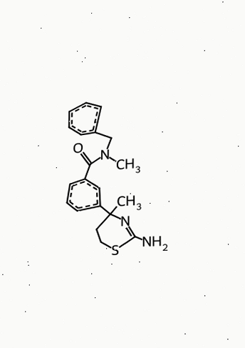 CN(Cc1ccccc1)C(=O)c1cccc(C2(C)CCSC(N)=N2)c1